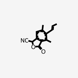 C/C=C/c1c(C)cc2c(c1C)C(=O)OC2C#N